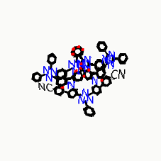 N#Cc1ccc(-c2ccc(-c3nc(-c4ccccc4)nc(-c4ccc(-c5ccc(C#N)cc5)c(-n5c6ccc(-c7nc(-c8ccccc8)nc(-c8ccccc8)n7)cc6c6cc(-c7nc(-c8ccccc8)nc(-c8ccccc8)n7)ccc65)c4)n3)cc2-n2c3ccc(-c4nc(-c5ccccc5)nc(-c5ccccc5)n4)cc3c3cc(-c4nc(-c5ccccc5)nc(-c5ccccc5)n4)ccc32)cc1